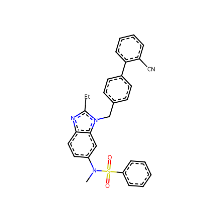 CCc1nc2ccc(N(C)S(=O)(=O)c3ccccc3)cc2n1Cc1ccc(-c2ccccc2C#N)cc1